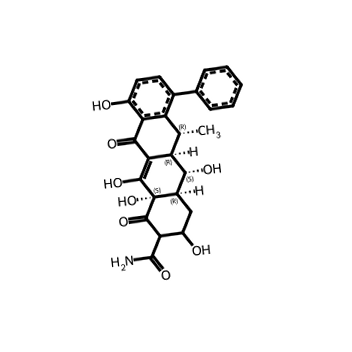 C[C@H]1c2c(-c3ccccc3)ccc(O)c2C(=O)C2=C(O)[C@]3(O)C(=O)C(C(N)=O)C(O)C[C@@H]3[C@@H](O)[C@@H]21